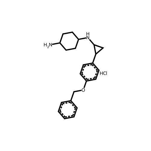 Cl.NC1CCC(NC2CC2c2ccc(OCc3ccccc3)cc2)CC1